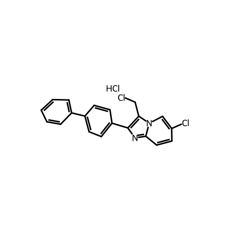 Cl.ClCc1c(-c2ccc(-c3ccccc3)cc2)nc2ccc(Cl)cn12